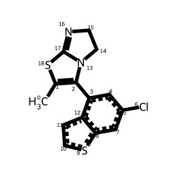 CC1=C(c2cc(Cl)cc3sccc23)N2CCN=C2S1